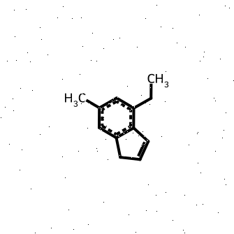 CCc1cc(C)cc2c1C=CC2